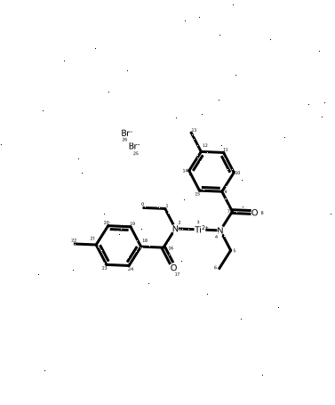 CC[N]([Ti+2][N](CC)C(=O)c1ccc(C)cc1)C(=O)c1ccc(C)cc1.[Br-].[Br-]